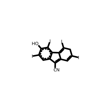 N#CC1=C2C=C(I)CC(I)=C2c2c1cc(I)c(O)c2I